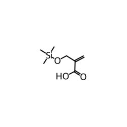 C=C(CO[Si](C)(C)C)C(=O)O